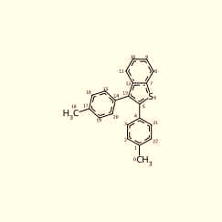 Cc1ccc(-c2sc3ccccc3c2-c2ccc(C)cc2)cc1